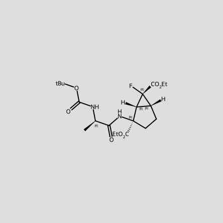 CCOC(=O)[C@@]1(F)[C@@H]2CC[C@](NC(=O)[C@@H](C)NC(=O)OC(C)(C)C)(C(=O)OCC)[C@@H]21